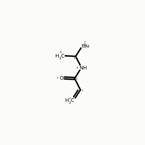 C=CC(=O)NC(C)C(C)(C)C